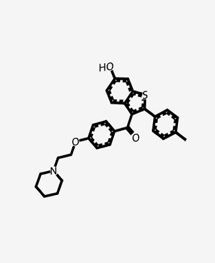 Cc1ccc(-c2sc3cc(O)ccc3c2C(=O)c2ccc(OCCN3CCCCC3)cc2)cc1